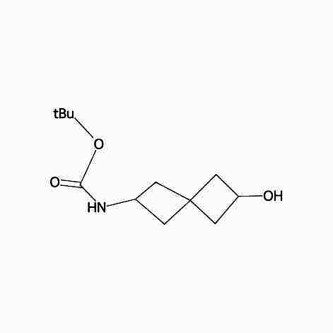 CC(C)(C)OC(=O)NC1CC2(CC(O)C2)C1